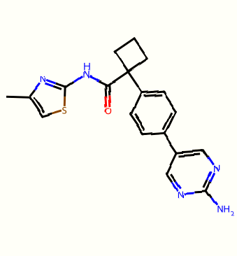 Cc1csc(NC(=O)C2(c3ccc(-c4cnc(N)nc4)cc3)CCC2)n1